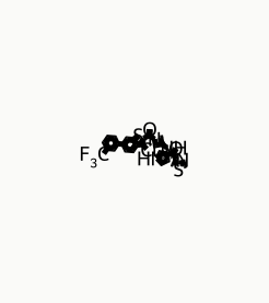 O=C(c1sc2cc(-c3cccc(C(F)(F)F)c3)ccc2c1Cl)N1CC(N[C@@]2(C(=O)c3cscn3)CCNC2)C1